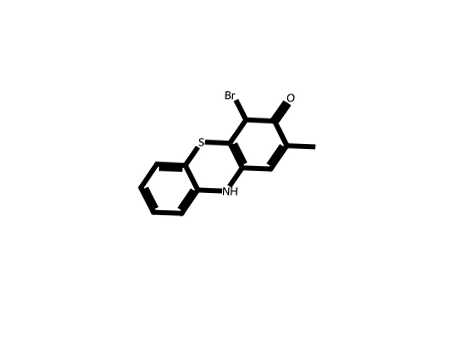 CC1=CC2=C(Sc3ccccc3N2)C(Br)C1=O